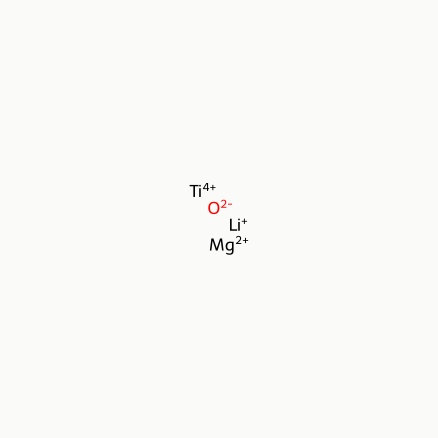 [Li+].[Mg+2].[O-2].[Ti+4]